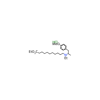 CCOC(=O)CCCCCCCCCCN(CC)C(C)Cc1ccc(OC)cc1.Cl